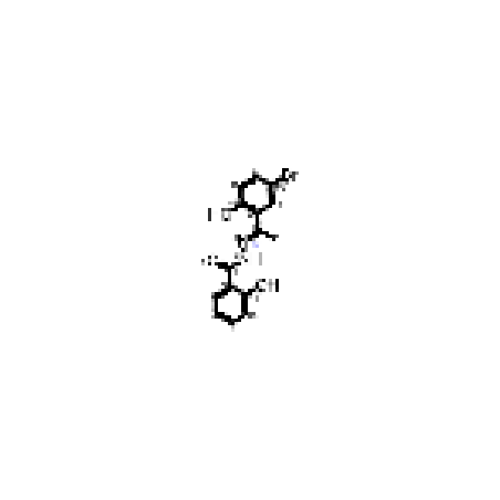 C/C(=N\NC(=O)c1ccccc1O)c1cc(Br)ccc1O